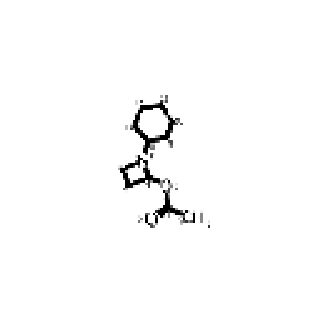 CC(=O)OC1CCN1C1CCCCC1